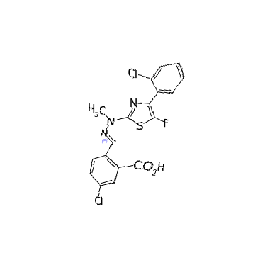 CN(/N=C/c1ccc(Cl)cc1C(=O)O)c1nc(-c2ccccc2Cl)c(F)s1